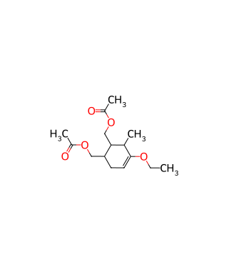 CCOC1=CCC(COC(C)=O)C(COC(C)=O)C1C